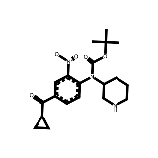 CC(C)(C)OC(=O)N(c1ccc(C(=O)C2CC2)cc1[N+](=O)[O-])C1CCCNC1